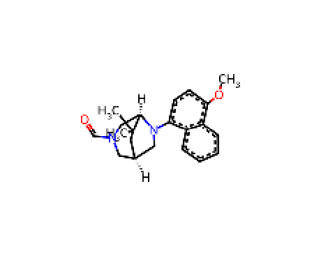 COc1ccc(N2C[C@H]3CN(C=O)C[C@@H]2C(C)(C)C3)c2ccccc12